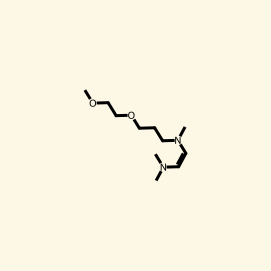 COCCOCCCN(C)/C=C\N(C)C